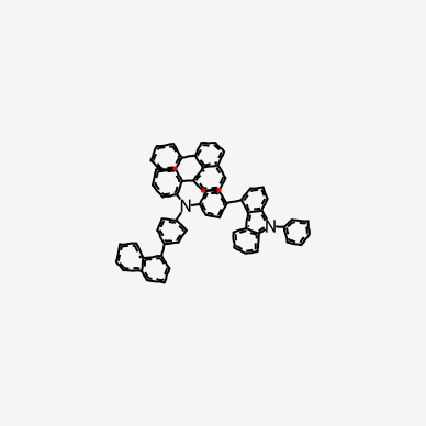 c1ccc(-c2cccc3cccc(-c4ccccc4N(c4ccc(-c5cccc6ccccc56)cc4)c4ccc(-c5cccc6c5c5ccccc5n6-c5ccccc5)cc4)c23)cc1